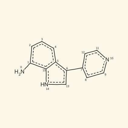 Nc1cccc2c(-c3ccncc3)c[nH]c12